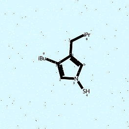 CCC(C)c1cn(S)cc1CC(C)C